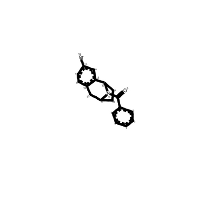 O=C(c1ccccc1)N1C2CCC1c1cc(Br)ccc1C2